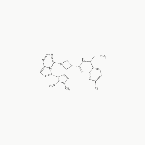 CCC(NC(=O)C1CN(c2ncnc3ccc(-c4cnn(C)c4N)n23)C1)c1ccc(Cl)cc1